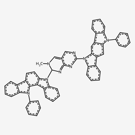 CN1C=c2cnc(-n3c4ccccc4c4cc5c(cc43)c3ccccc3n5-c3ccccc3)nc2=NC1n1c2ccccc2c2c3c(ccc21)c1ccccc1n3-c1ccccc1